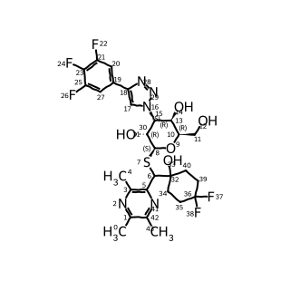 Cc1nc(C)c(C(S[C@@H]2O[C@H](CO)[C@H](O)[C@H](n3cc(-c4cc(F)c(F)c(F)c4)nn3)[C@H]2O)C2(O)CCC(F)(F)CC2)nc1C